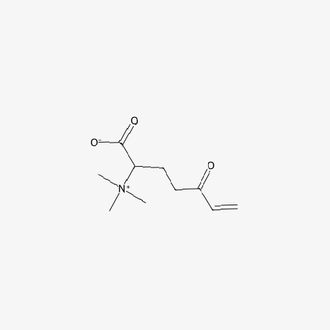 C=CC(=O)CCC(C(=O)[O-])[N+](C)(C)C